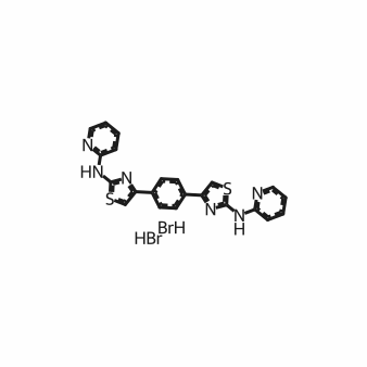 Br.Br.c1ccc(Nc2nc(-c3ccc(-c4csc(Nc5ccccn5)n4)cc3)cs2)nc1